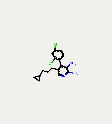 Nc1ncc(CCCC2CC2)c(-c2ccc(Cl)cc2Cl)c1N